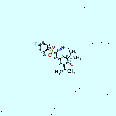 CC(C)c1cc(/C=C(\C#N)S(=O)(=O)c2ccc(F)cc2F)cc(C(C)C)c1O